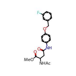 COC(=O)C(CC(=O)Nc1ccc(OCc2cccc(F)c2)cc1)NC(C)=O